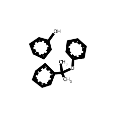 CC(C)(Oc1ccccc1)c1ccccc1.Oc1ccccc1